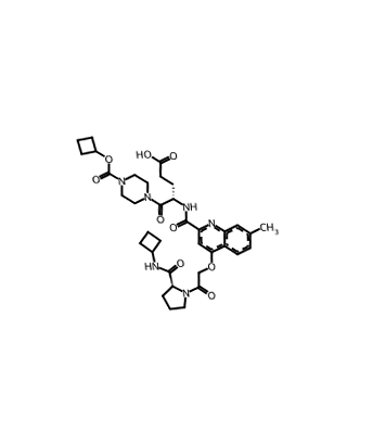 Cc1ccc2c(OCC(=O)N3CCC[C@H]3C(=O)NC3CCC3)cc(C(=O)N[C@@H](CCC(=O)O)C(=O)N3CCN(C(=O)OC4CCC4)CC3)nc2c1